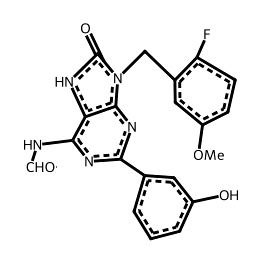 COc1ccc(F)c(Cn2c(=O)[nH]c3c(N[C]=O)nc(-c4cccc(O)c4)nc32)c1